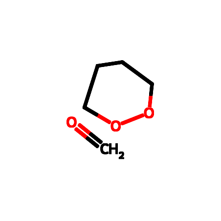 C1CCOOC1.C=O